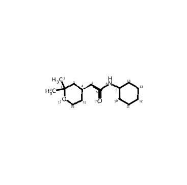 CC1(C)C[C@@H](CC(=O)NC2CCCCC2)CCO1